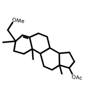 COCC1(C)C=C2CCC3C(CCC4(C)C(OC(C)=O)CCC34)C2(C)CC1